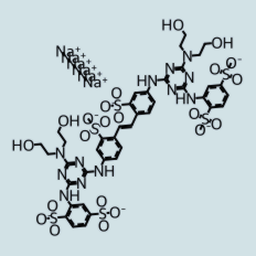 O=S(=O)([O-])c1ccc(S(=O)(=O)[O-])c(Nc2nc(Nc3ccc(C=Cc4ccc(Nc5nc(Nc6cc(S(=O)(=O)[O-])ccc6S(=O)(=O)[O-])nc(N(CCO)CCO)n5)cc4S(=O)(=O)[O-])c(S(=O)(=O)[O-])c3)nc(N(CCO)CCO)n2)c1.[Na+].[Na+].[Na+].[Na+].[Na+].[Na+]